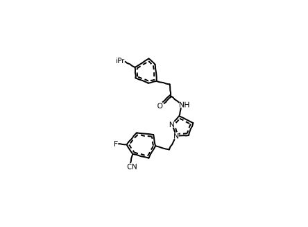 CC(C)c1ccc(CC(=O)Nc2ccn(Cc3ccc(F)c(C#N)c3)n2)cc1